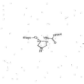 CCCCCCCO[C@@H]1CNC[C@H]1NC(=O)CCCCCC